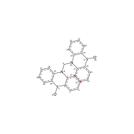 [O-][S+]1c2ccccc2N(CN2c3ccccc3[S+]([O-])c3ccccc32)c2ccccc21